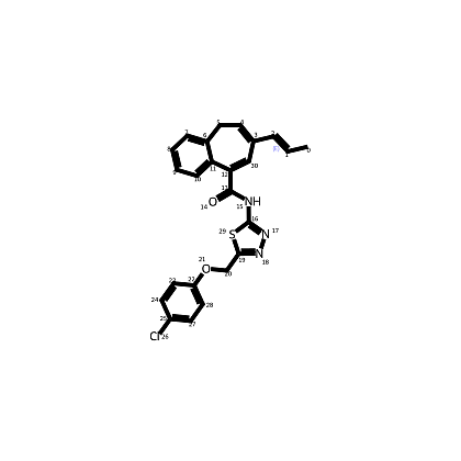 C/C=C/C1=CCc2ccccc2C(C(=O)Nc2nnc(COc3ccc(Cl)cc3)s2)=C1